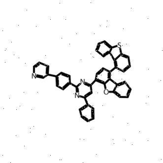 c1ccc(-c2cc(-c3ccc(-c4cccc5sc6ccccc6c45)c4c3oc3ccccc34)nc(-c3ccc(-c4cccnc4)cc3)n2)cc1